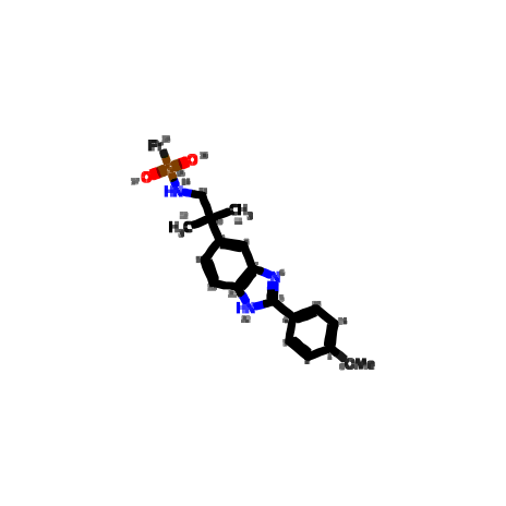 COc1ccc(-c2nc3cc(C(C)(C)CNS(=O)(=O)C(C)C)ccc3[nH]2)cc1